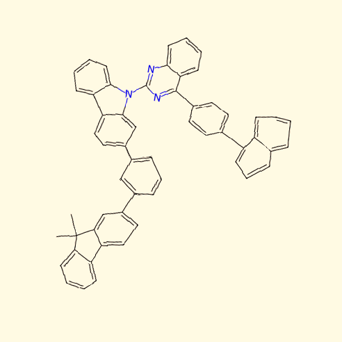 CC1(C)c2ccccc2-c2ccc(-c3cccc(-c4ccc5c6ccccc6n(-c6nc(-c7ccc(-c8cccc9ccccc89)cc7)c7ccccc7n6)c5c4)c3)cc21